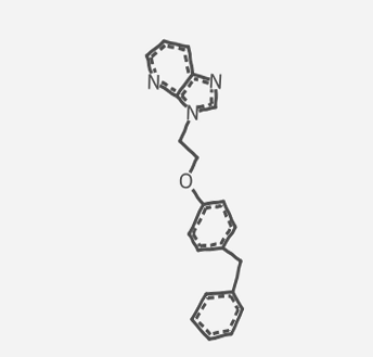 c1ccc(Cc2ccc(OCCn3cnc4cccnc43)cc2)cc1